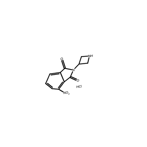 Cl.O=C1c2cccc([N+](=O)[O-])c2C(=O)N1C1CNC1